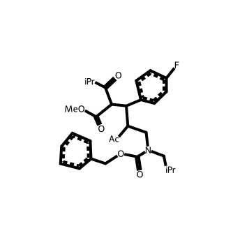 COC(=O)C(C(=O)C(C)C)C(c1ccc(F)cc1)C(CN(CC(C)C)C(=O)OCc1ccccc1)C(C)=O